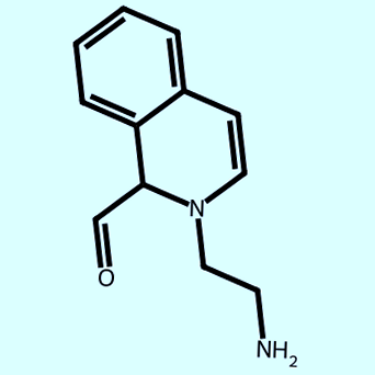 NCCN1C=Cc2ccccc2C1C=O